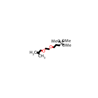 C=C(C)COCCOCCC[Si](OC)(OC)OC